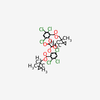 CC(C)(COC(=O)c1c(Cl)c(Cl)cc(Cl)c1OC(=O)C(=O)Oc1c(Cl)cc(Cl)c(Cl)c1C(=O)OCC(C)(C)C1(C)CC1)C1(C)CC1